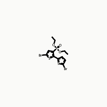 CCOP(=O)(OCC)c1cc(Br)sc1-c1ccc(Br)s1